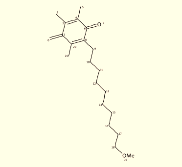 C=C1C(C)=C(C)C(=O)C(CCCCCCCCCCOC)=C1C